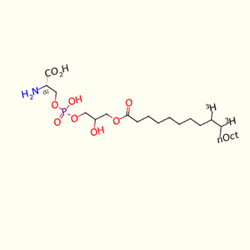 [3H]C(CCCCCCCC)C([3H])CCCCCCCC(=O)OCC(O)COP(=O)(O)OC[C@H](N)C(=O)O